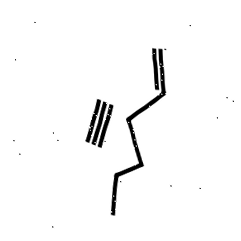 C#C.[CH]=CCCCC